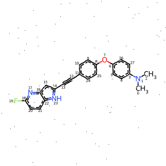 CN(C)c1ccc(Oc2ccc(C#Cc3cc4nc(F)ccc4[nH]3)cc2)cc1